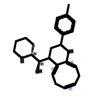 Cc1ccc(C2CC([C@@H](O)[C@H]3CCCCN3)C3=C/C/C=C\C/C=C\3N2)cc1